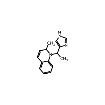 CC1C=Cc2ccccc2N1C(C)c1c[nH]cn1